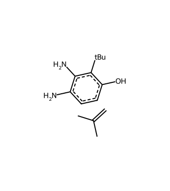 C=C(C)C.CC(C)(C)c1c(O)ccc(N)c1N